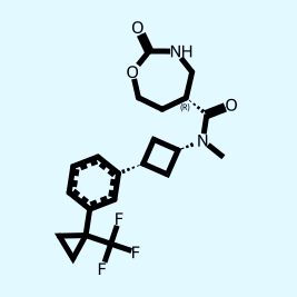 CN(C(=O)[C@@H]1CCOC(=O)NC1)[C@H]1C[C@@H](c2cccc(C3(C(F)(F)F)CC3)c2)C1